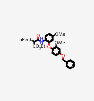 CCCCCC(C(=O)Nc1ccc(OC)cc1Oc1ccc(OCc2ccccc2)cc1OC)C(=O)OCC